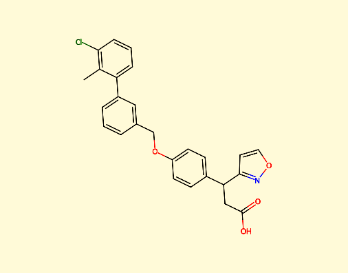 Cc1c(Cl)cccc1-c1cccc(COc2ccc(C(CC(=O)O)c3ccon3)cc2)c1